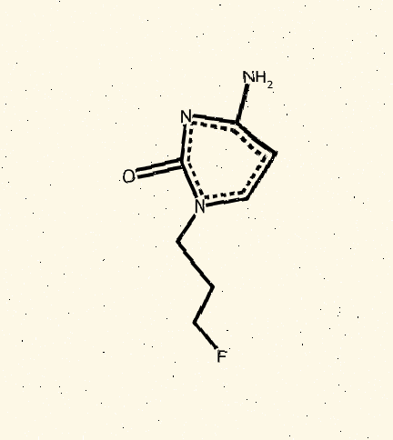 Nc1ccn(CCCF)c(=O)n1